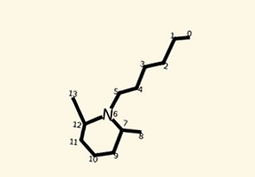 CCCCCCN1C(C)CCCC1C